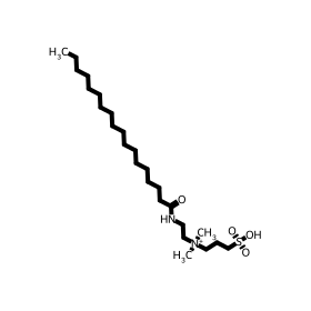 CCCCCCCCCCCCCCCCCC(=O)NCC[N+](C)(C)CCCS(=O)(=O)O